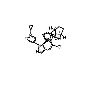 OC1(c2nccs2)[C@@H]2CC[C@H]1CN(c1cc3c(cnn3-c3cnn(C4CC4)c3)cc1Cl)C2